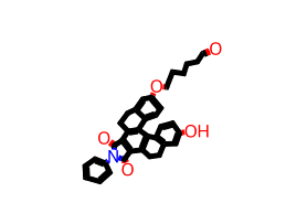 O=CCCCCCOc1ccc2c(c1)CCc1c3c(c4c(c1-2)-c1ccc(O)cc1CC4)C(=O)N(c1ccccc1)C3=O